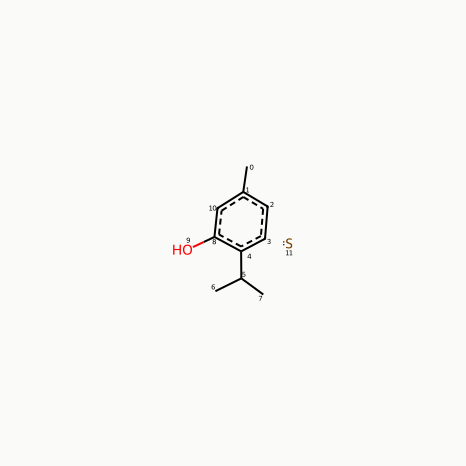 Cc1ccc(C(C)C)c(O)c1.[S]